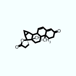 CC12CCC(=O)C=C1C=CC1C2CC[C@@]2(C)C1C1CC1[C@@]21CCC(=O)O1